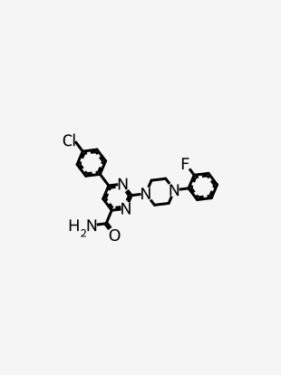 NC(=O)c1cc(-c2ccc(Cl)cc2)nc(N2CCN(c3ccccc3F)CC2)n1